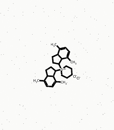 CC1=CC=C(C)C2C1CC[CH]2[Zr+2]1([CH]2CCC3C(C)=CC=C(C)C32)[CH2]CCC[CH2]1.[Cl-].[Cl-]